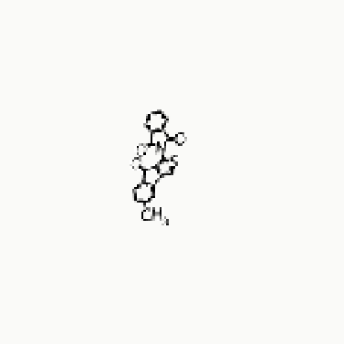 Cc1ccc2c(c1)-c1csc(N3C(=O)c4ccccc4C3=O)c1C2=O